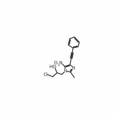 Cc1nc(C#Cc2ccccc2)c([N+](=O)[O-])n1CC(O)CCl